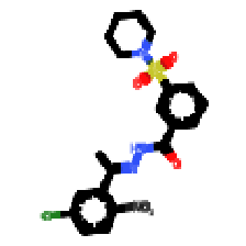 C/C(=N\NC(=O)c1cccc(S(=O)(=O)N2CCCCC2)c1)c1cc(Cl)ccc1[N+](=O)[O-]